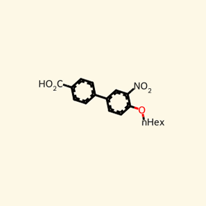 CCCCCCOc1ccc(-c2ccc(C(=O)O)cc2)cc1[N+](=O)[O-]